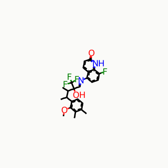 COc1c(C(C)C(C)C(O)(C=Nc2ccc(F)c3[nH]c(=O)ccc23)C(F)(F)F)ccc(C)c1C